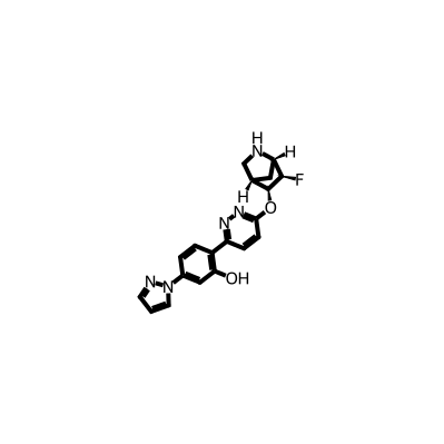 Oc1cc(-n2cccn2)ccc1-c1ccc(O[C@H]2[C@@H]3CN[C@@H](C3)[C@H]2F)nn1